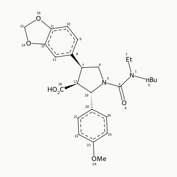 CCCCN(CC)C(=O)N1C[C@H](c2ccc3c(c2)OCO3)[C@H](C(=O)O)[C@H]1c1ccc(OC)cc1